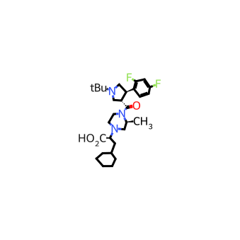 C[C@H]1CN([C@@H](CC2CCCCC2)C(=O)O)CCN1C(=O)[C@@H]1CN(C(C)(C)C)C[C@H]1c1ccc(F)cc1F